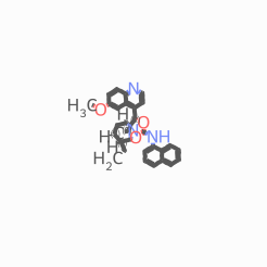 C=C[C@H]1CN2CC[C@H]1C[C@H]2[C@H](OC(=O)Nc1cccc2ccccc12)c1ccnc2ccc(OC)cc12